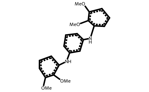 COc1cccc(Nc2cccc(Nc3cccc(OC)c3OC)c2)c1OC